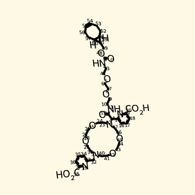 O=C(NCCOCCOCCNC(=O)C(c1cccc(C(=O)O)n1)N1CCOCCOCCN(Cc2cccc(C(=O)O)n2)CCOCCOCC1)OCC1[C@H]2CCC#CCC[C@@H]12